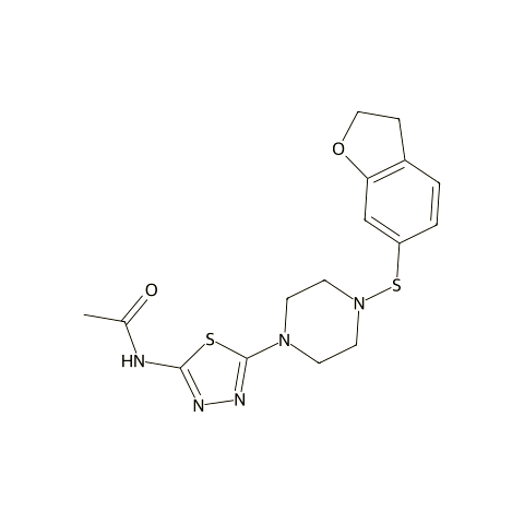 CC(=O)Nc1nnc(N2CCN(Sc3ccc4c(c3)OCC4)CC2)s1